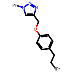 CC(C)CCc1ccc(OCc2cn(C(C)C)nn2)cc1